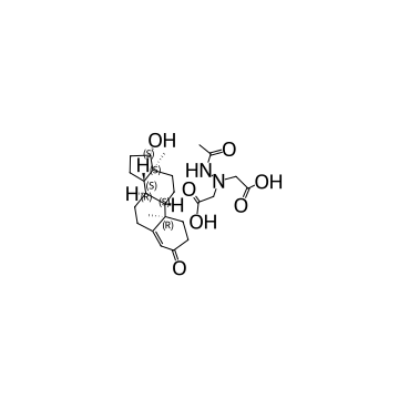 CC(=O)NN(CC(=O)O)CC(=O)O.C[C@]12CC[C@H]3[C@@H](CCC4=CC(=O)CC[C@@]43C)[C@@H]1CC[C@@H]2O